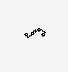 CC(CCCc1ccc(OC(=O)Oc2ccc(CCCC(C)c3ccccc3)cc2)cc1)c1ccccc1